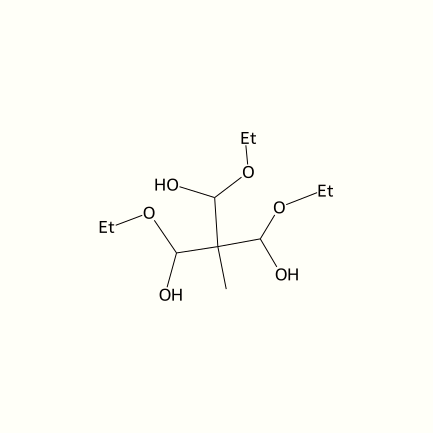 CCOC(O)C(C)(C(O)OCC)C(O)OCC